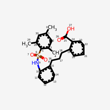 Cc1cc(C)c(S(=O)(=O)Nc2ccccc2CCCc2ccccc2C(=O)O)c(C)c1